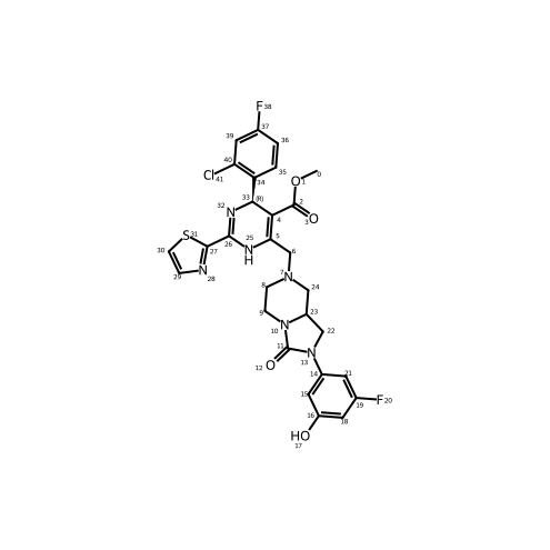 COC(=O)C1=C(CN2CCN3C(=O)N(c4cc(O)cc(F)c4)CC3C2)NC(c2nccs2)=N[C@H]1c1ccc(F)cc1Cl